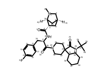 CN1C[C@H]2C[C@H](C(=O)N[C@H](Cc3ccc(F)cc3)C(=O)N3CCC(C(=O)NC(C)(C)C)(C4CCCCC4)CC3)[C@@H]1C2